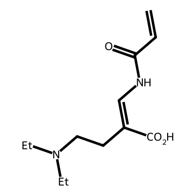 C=CC(=O)NC=C(CCN(CC)CC)C(=O)O